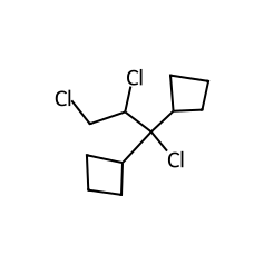 ClCC(Cl)C(Cl)(C1CCC1)C1CCC1